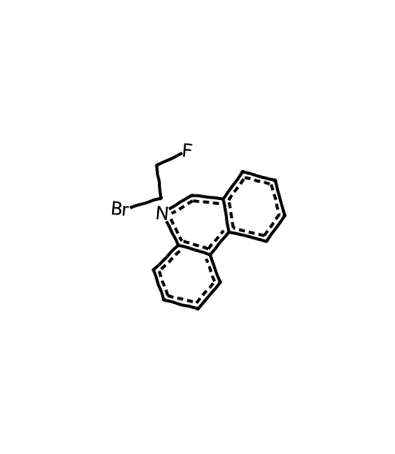 FCCBr.c1ccc2c(c1)cnc1ccccc12